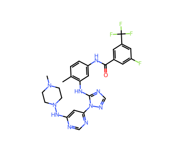 Cc1ccc(NC(=O)c2cc(F)cc(C(F)(F)F)c2)cc1Nc1ncnn1-c1cc(NN2CCN(C)CC2)ncn1